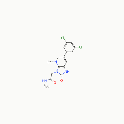 CCCCNC(=O)Cn1c2c([nH]c1=O)C=C(c1cc(Cl)cc(Cl)c1)CN2CC